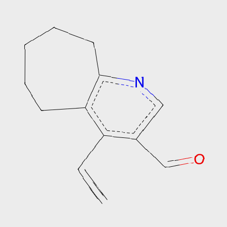 C=Cc1c(C=O)cnc2c1CCCCC2